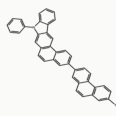 CC(C)(C)c1ccc2c(ccc3cc(-c4ccc5c(ccc6cc7c(cc65)c5ccccc5n7-c5ccccc5)c4)ccc32)c1